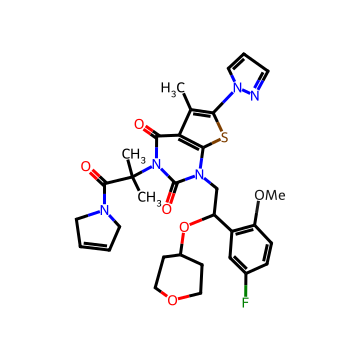 COc1ccc(F)cc1C(Cn1c(=O)n(C(C)(C)C(=O)N2CC=CC2)c(=O)c2c(C)c(-n3cccn3)sc21)OC1CCOCC1